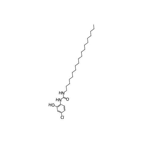 CCCCCCCCCCCCCCCCCCCCNC(=O)Nc1ccc(Cl)cc1O